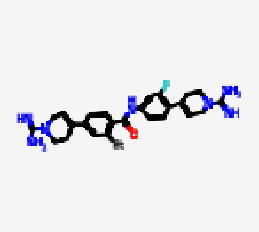 CCc1cc(C2=CCN(C(=N)N)CC2)ccc1C(=O)Nc1ccc(C2=CCN(C(=N)N)CC2)c(F)c1